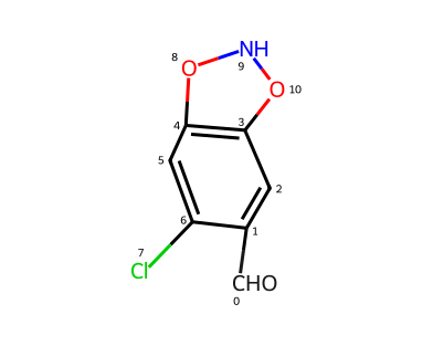 O=Cc1cc2c(cc1Cl)ONO2